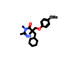 COc1ccc(OCC(C)(CC2CCCCC2)C(=O)N(C)C(C)=N)cc1